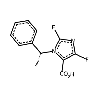 C[C@H](c1ccccc1)n1c(F)nc(F)c1C(=O)O